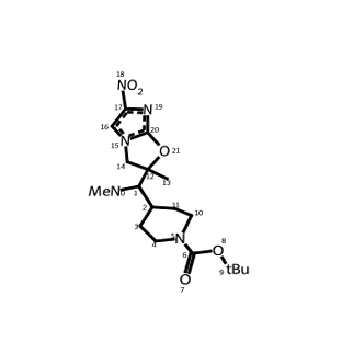 CNC(C1CCN(C(=O)OC(C)(C)C)CC1)C1(C)Cn2cc([N+](=O)[O-])nc2O1